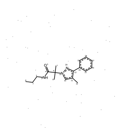 CCCNC(=O)C(C)(C)n1cc(C)c(-c2ccccc2)n1